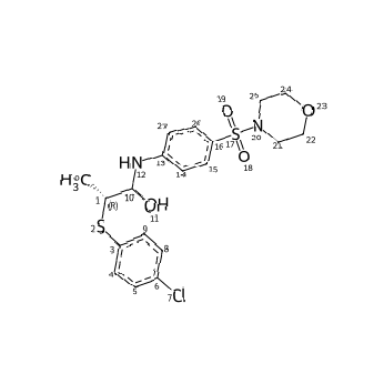 C[C@@H](Sc1ccc(Cl)cc1)C(O)Nc1ccc(S(=O)(=O)N2CCOCC2)cc1